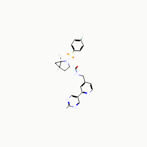 O=C(NCc1ccnc(-c2cnc(C(F)(F)F)nc2)c1)[C@@H]1C[C@@H]2C[C@@H]2N1S(=O)(=O)c1ccc(F)cc1